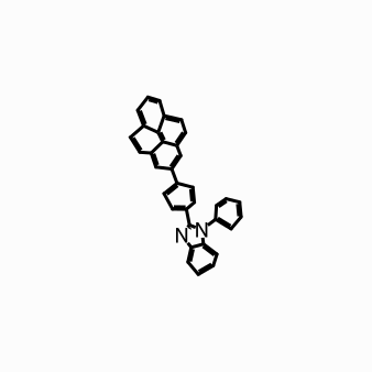 c1ccc(-n2c(-c3ccc(-c4cc5ccc6cccc7ccc(c4)c5c67)cc3)nc3ccccc32)cc1